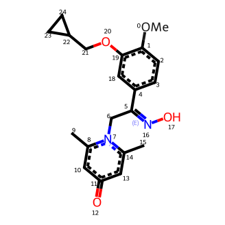 COc1ccc(/C(Cn2c(C)cc(=O)cc2C)=N\O)cc1OCC1CC1